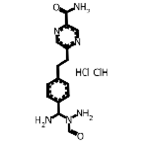 Cl.Cl.NC(=O)c1cnc(CCc2ccc(C(N)N(N)C=O)cc2)cn1